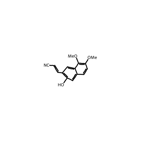 COc1ccc2cc(O)c(C=CC#N)cc2c1OC